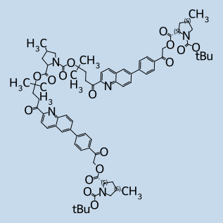 CC1CC(C(=O)OC(C)(C)CCC(=O)c2ccc3cc(-c4ccc(C(=O)COC(=O)[C@@H]5C[C@H](C)CN5C(=O)OC(C)(C)C)cc4)ccc3n2)N(C(=O)OC(C)(C)CCC(=O)c2ccc3cc(-c4ccc(C(=O)COC(=O)[C@@H]5C[C@H](C)CN5C(=O)OC(C)(C)C)cc4)ccc3n2)C1